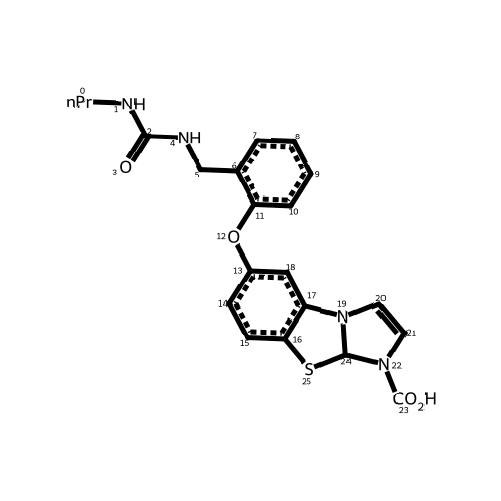 CCCNC(=O)NCc1ccccc1Oc1ccc2c(c1)N1C=CN(C(=O)O)C1S2